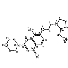 CCc1c(OCCN2CCCC2CO)ccc2c(=O)cc(N3CCOCC3)oc12